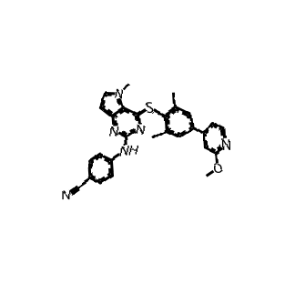 COc1cc(-c2cc(C)c(Sc3nc(Nc4ccc(C#N)cc4)nc4ccn(C)c34)c(C)c2)ccn1